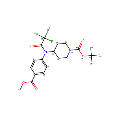 COC(=O)c1ccc(N(C(=O)C(F)(F)F)C2CCN(C(=O)OC(C)(C)C)CC2)cc1